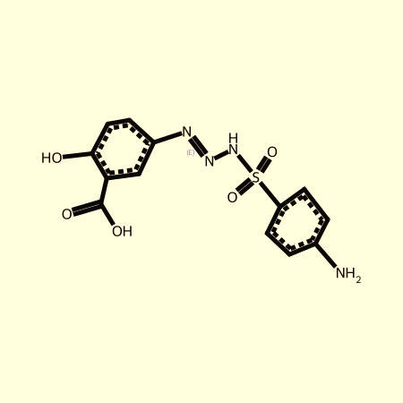 Nc1ccc(S(=O)(=O)N/N=N/c2ccc(O)c(C(=O)O)c2)cc1